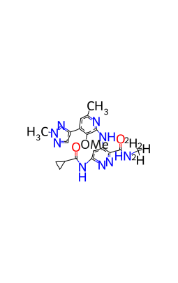 [2H]C([2H])([2H])NC(=O)c1nnc(NC(=O)C2CC2)cc1Nc1nc(C)cc(-c2cnn(C)n2)c1OC